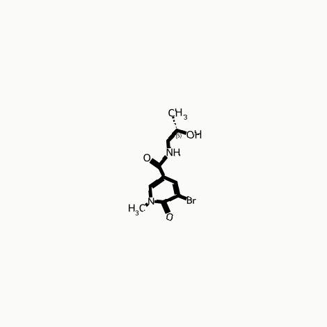 C[C@H](O)CNC(=O)c1cc(Br)c(=O)n(C)c1